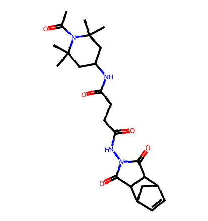 CC(=O)N1C(C)(C)CC(NC(=O)CCC(=O)NN2C(=O)C3C4C=CC(C4)C3C2=O)CC1(C)C